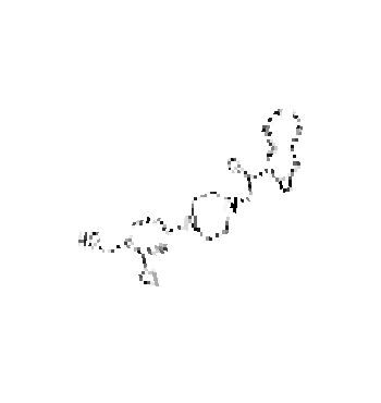 O=C(CN1CCN(c2ccc(CO)c(Cl)c2)CC1)c1occ2ccccc12